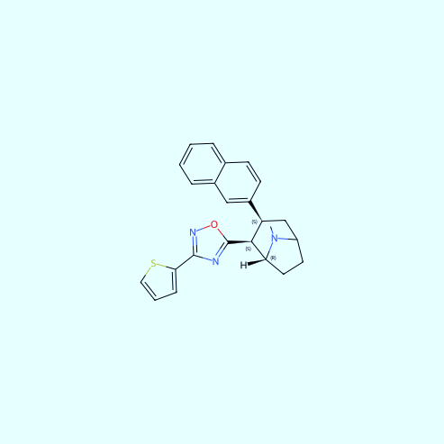 CN1C2CC[C@@H]1[C@@H](c1nc(-c3cccs3)no1)[C@@H](c1ccc3ccccc3c1)C2